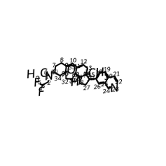 CN(CC(F)F)[C@@H]1CCC2=CC3=CC[C@]4(C)C(c5ccc6ccncc6c5)CC[C@H]4[C@@]34CC[C@]2(C1)O4